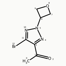 CC(=O)c1nn(C2COC2)nc1Br